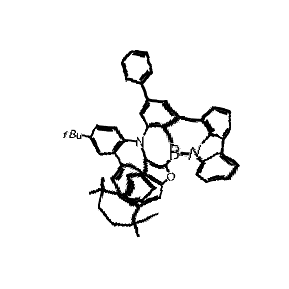 CC(C)(C)c1ccc(N2c3cc(-c4ccccc4)cc4c3B(c3oc5cc6c(cc5c32)C(C)(C)CCC6(C)C)n2c3ccccc3c3cccc-4c32)c(-c2ccccc2)c1